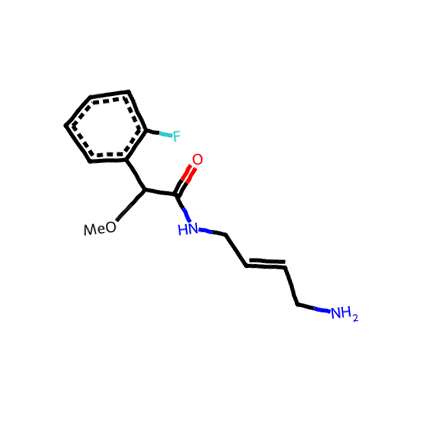 COC(C(=O)NCC=CCN)c1ccccc1F